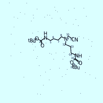 CC(C)(C)OC(=O)NCCCCN(CC#N)CCCNC(=O)OC(C)(C)C